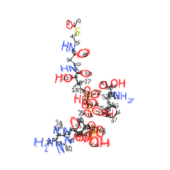 CC(=O)SCCNC(=O)CCNC(=O)C(O)C(C)(C)COP(=O)(O)OP(=O)(O)OC[C@H]1O[C@@H](n2cnc3c(N)ncnc32)[C@H](O)[C@@H]1OP(=O)(O)O.N[C@@H](Cc1ccccc1)C(=O)O